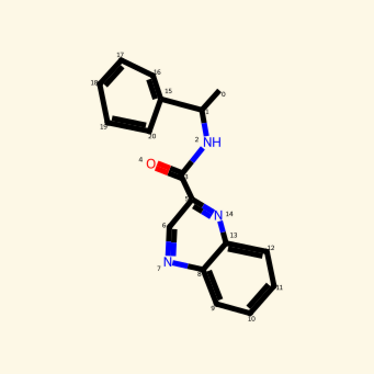 CC(NC(=O)c1cnc2ccccc2n1)c1ccccc1